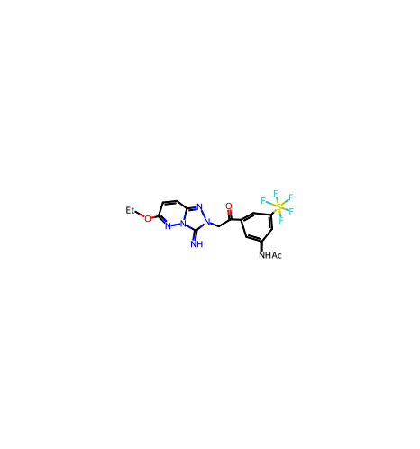 CCOc1ccc2nn(CC(=O)c3cc(NC(C)=O)cc(S(F)(F)(F)(F)F)c3)c(=N)n2n1